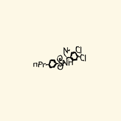 CCCc1ccc(S(=O)(=O)N[C@@H](CN(C)C)c2ccc(Cl)c(Cl)c2)cc1